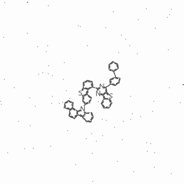 c1ccc(-c2cccc(-c3nc(-c4cccc5sc6cc(-n7c8ccccc8c8ccc9ccccc9c87)ccc6c45)nc4c3sc3ccccc34)c2)cc1